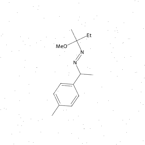 CCC(C)(/N=N/C(C)c1ccc(C)cc1)OC